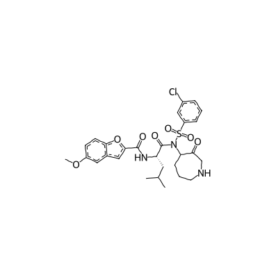 COc1ccc2oc(C(=O)N[C@@H](CC(C)C)C(=O)N(C3CCCNCC3=O)S(=O)(=O)c3cccc(Cl)c3)cc2c1